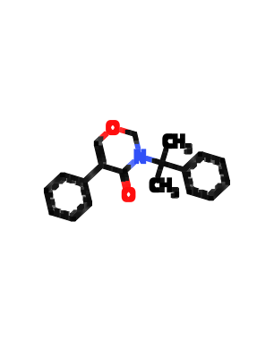 CC(C)(c1ccccc1)N1COC=C(c2ccccc2)C1=O